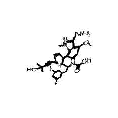 COc1ccc(-c2ccc(C#CC(C)(C)O)nc2C(Cc2cc(F)cc(F)c2)NC(=O)O)c2c1c(N)nn2C